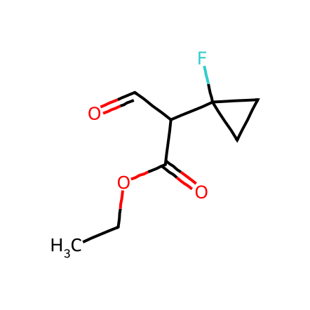 CCOC(=O)C(C=O)C1(F)CC1